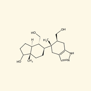 C[C@]1([C@H]2CC[C@]3(C)C(O)CC[C@H]3[C@@H]2CO)Cc2cn[nH]c2C[C@@H]1CO